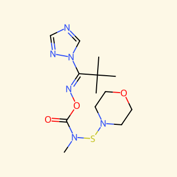 CN(SN1CCOCC1)C(=O)ON=C(n1cncn1)C(C)(C)C